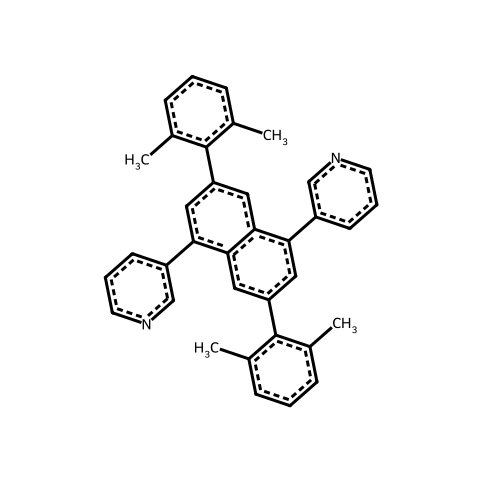 Cc1cccc(C)c1-c1cc(-c2cccnc2)c2cc(-c3c(C)cccc3C)cc(-c3cccnc3)c2c1